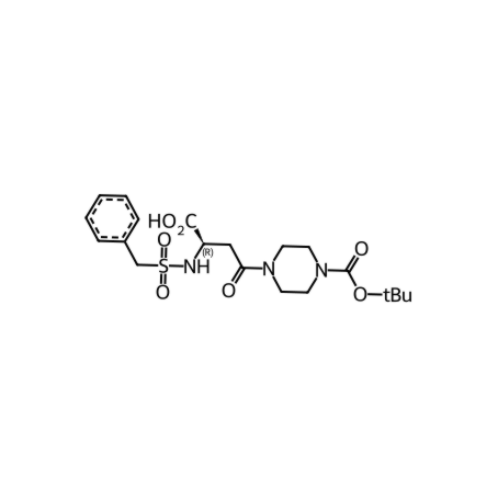 CC(C)(C)OC(=O)N1CCN(C(=O)C[C@@H](NS(=O)(=O)Cc2ccccc2)C(=O)O)CC1